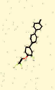 CC1CCC(C2CCC(C3CCC(OC=C(F)F)C(F)C3)CC2)CC1